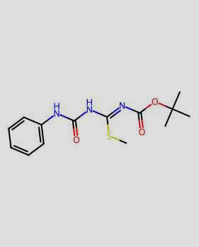 CS/C(=N\C(=O)OC(C)(C)C)NC(=O)Nc1ccccc1